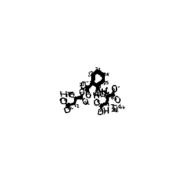 O=C(O)CC(O)C(=O)[O-].O=C([O-])CC(O)C(=O)[O-].O=C([O-])c1ccccc1O.[Ti+4]